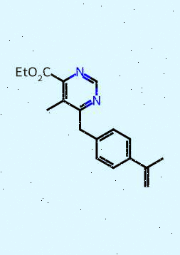 C=C(C)c1ccc(Cc2ncnc(C(=O)OCC)c2C)cc1